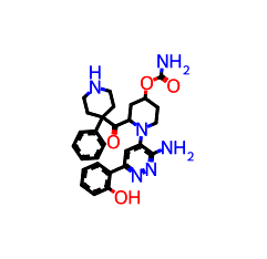 NC(=O)OC1CCN(c2cc(-c3ccccc3O)nnc2N)C(C(=O)C2(c3ccccc3)CCNCC2)C1